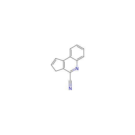 N#Cc1nc2ccccc2c2c1CC=C2